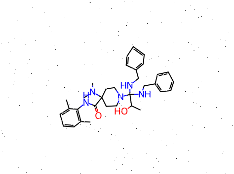 Cc1cccc(C)c1NC(=O)C1(N(C)C)CCN(C(NCc2ccccc2)(NCc2ccccc2)C(C)O)CC1